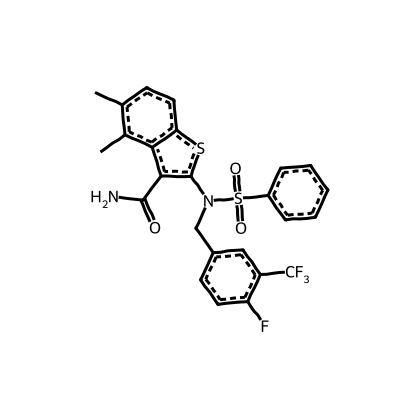 Cc1ccc2sc(N(Cc3ccc(F)c(C(F)(F)F)c3)S(=O)(=O)c3ccccc3)c(C(N)=O)c2c1C